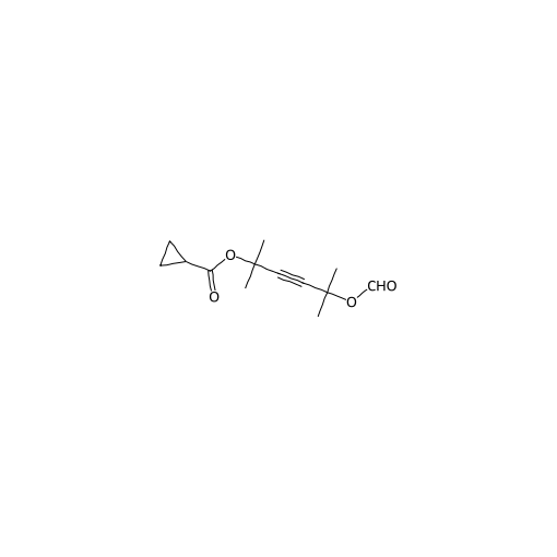 CC(C)(C#CC(C)(C)OC(=O)C1CC1)OC=O